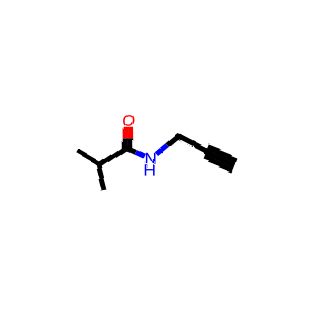 C#CCNC(=O)C(C)C